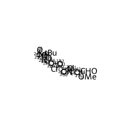 COc1cc(Cn2ncc3c(-c4cccc(-c5ccc(CN(C[C@@H]6CCC(=O)N6)C(=O)OC(C)(C)C)cc5)c4Cl)cccc32)c(Cl)cc1C=O